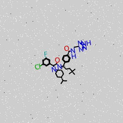 CC(C)C1CCC2(CC1)N=C(c1cc(F)cc(Cl)c1)C(=O)N2[C@H](CCC(C)(C)C)c1ccc(C(=O)NCc2nn[nH]n2)cc1